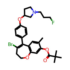 Cc1cc2c(cc1OC(=O)C(C)(C)C)OCCC(Br)=C2c1ccc(OC2CCN(CCCF)C2)cc1